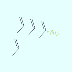 C=CC.C=CC.C=CC.C=CC.S.S